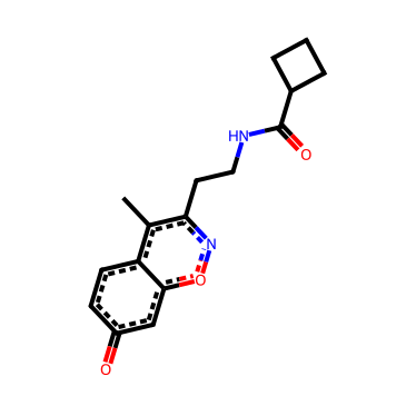 Cc1c2ccc(=O)cc-2onc1CCNC(=O)C1CCC1